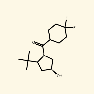 CC(C)(C)C1C[C@H](O)CN1C(=O)C1CCC(F)(F)CC1